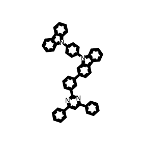 c1ccc(-c2cc(-c3ccccc3)nc(-c3cccc(-c4ccc5c6ccccc6n(-c6ccc(-n7c8ccccc8c8ccccc87)cc6)c5c4)c3)n2)cc1